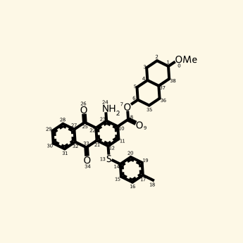 COC1CCC2CC(OC(=O)c3cc(Sc4ccc(C)cc4)c4c(c3N)C(=O)c3ccccc3C4=O)CCC2C1